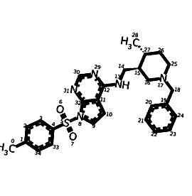 Cc1ccc(S(=O)(=O)n2ccc3c(NC[C@@H]4CN(Cc5ccccc5)CC[C@H]4C)ncnc32)cc1